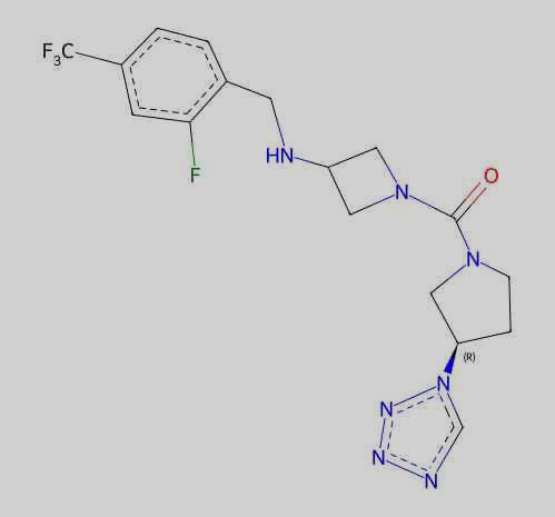 O=C(N1CC(NCc2ccc(C(F)(F)F)cc2F)C1)N1CC[C@@H](n2cnnn2)C1